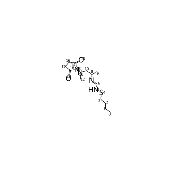 CCCCSN/C=N/C(C)CN(C)N1C(=O)CCC1=O